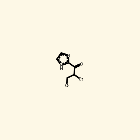 CCC(C[O])C(=O)c1ncc[nH]1